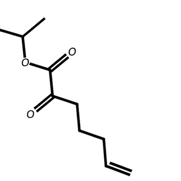 C=CCCCC(=O)C(=O)OC(C)C